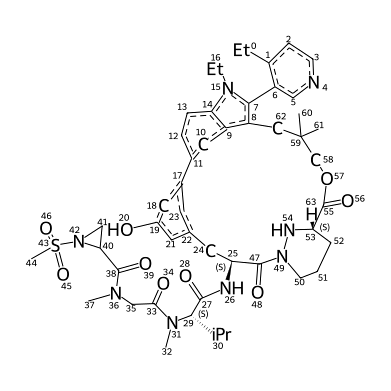 CCc1ccncc1-c1c2c3cc(ccc3n1CC)-c1cc(O)cc(c1)C[C@H](NC(=O)[C@H](C(C)C)N(C)C(=O)CN(C)C(=O)C1CN1S(C)(=O)=O)C(=O)N1CCC[C@H](N1)C(=O)OCC(C)(C)C2